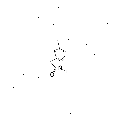 Cc1ccc2c(c1)CC(=O)N2I